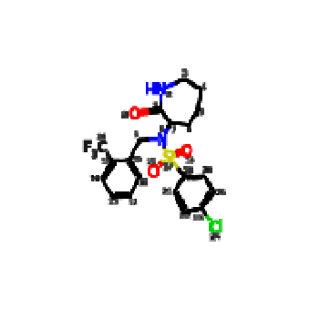 O=C1NCCCCC1N(Cc1ccccc1C(F)(F)F)S(=O)(=O)c1ccc(Cl)cc1